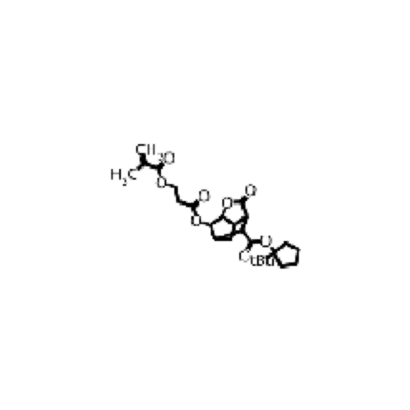 C=C(C)C(=O)OCCC(=O)OC1C2CC3C1OC(=O)C3C2C(=O)OC1(C(C)(C)C)CCCC1